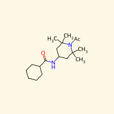 CC(=O)N1C(C)(C)CC(NC(=O)C2CCCCC2)CC1(C)C